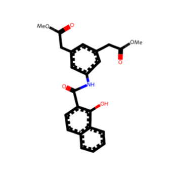 COC(=O)Cc1cc(CC(=O)OC)cc(NC(=O)c2ccc3ccccc3c2O)c1